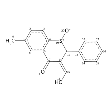 Cc1ccc2c(c1)C(=O)C(=CO)C(c1ccccc1)[S+]2[O-]